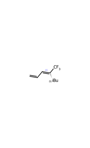 C=C/C=C(\[C@@H](C)CC)C(F)(F)F